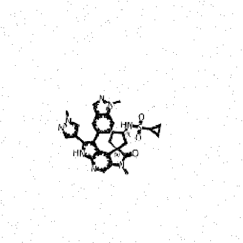 CN1C(=O)[C@]2(CC[C@@H](NS(=O)(=O)C3CC3)C2)c2c1cnc1[nH]c(-c3cnn(C)c3)c(-c3ccc4c(cnn4C)c3)c21